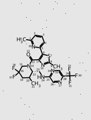 Cc1cccc(-c2sc(C)nc2C(=O)N2CC(F)(F)CC(C)[C@H]2CNc2cnc(C(F)(F)F)cn2)n1